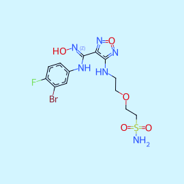 NS(=O)(=O)CCOCCNc1nonc1/C(=N/O)Nc1ccc(F)c(Br)c1